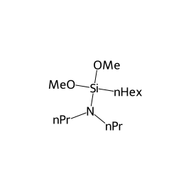 CCCCCC[Si](OC)(OC)N(CCC)CCC